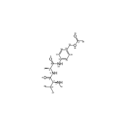 CN[C@H](C(=O)N[C@@H](C)C(=O)Nc1ccc(COC(C)=O)cc1)C(C)C